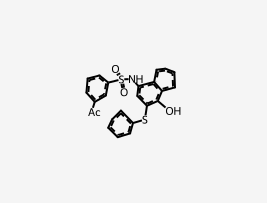 CC(=O)c1cccc(S(=O)(=O)Nc2cc(Sc3ccccc3)c(O)c3ccccc23)c1